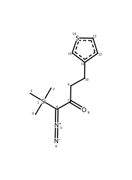 C[Si](C)(C)C(=[N+]=[N-])C(=O)CCc1ccsc1